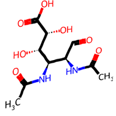 CC(=O)N[C@@H]([C@H](O)[C@@H](O)C(=O)O)[C@@H](C=O)NC(C)=O